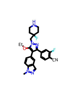 CCOc1c(-c2ccc3c(cnn3C)c2)c(-c2ccc(C#N)c(F)c2)nn1CC1(F)CCNCC1